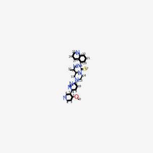 COc1ccncc1-c1ccc(N2CCN(C(=S)Nc3cccc4ncccc34)C(C(C)C)C2)nn1